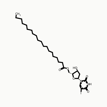 CCCCCCCCCCCCCCCCCCCC(=O)OC[C@H]1O[C@@H](n2cc(I)c(=O)[nH]c2=O)C[C@@H]1O